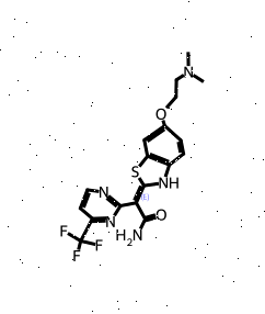 CN(C)CCOc1ccc2c(c1)S/C(=C(/C(N)=O)c1nccc(C(F)(F)F)n1)N2